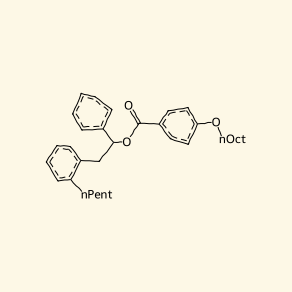 CCCCCCCCOc1ccc(C(=O)OC(Cc2ccccc2CCCCC)c2ccccc2)cc1